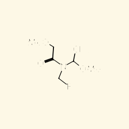 COCC(=O)N(CF)C(C)OC